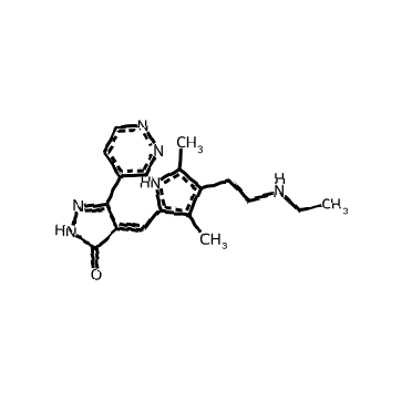 CCNCCc1c(C)[nH]c(/C=C2/C(=O)NN=C2c2ccnnc2)c1C